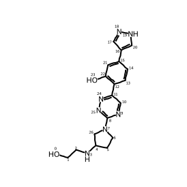 OCCNC1CCN(c2ncc(-c3ccc(-c4cn[nH]c4)cc3O)nn2)C1